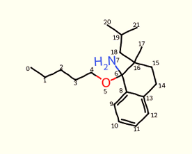 CCCCCOC1(N)c2ccccc2CCC1(C)CC(C)C